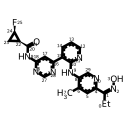 CC/C(=N/O)c1cc(C)c(Nc2ncccc2-c2cc(NC(=O)[C@H]3C[C@H]3F)ncn2)cn1